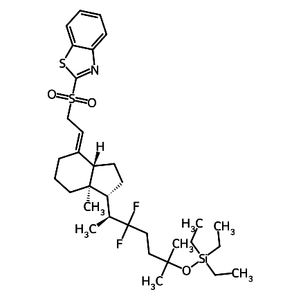 CC[Si](CC)(CC)OC(C)(C)CCC(F)(F)[C@@H](C)[C@H]1CC[C@H]2/C(=C/CS(=O)(=O)c3nc4ccccc4s3)CCC[C@]12C